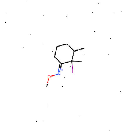 CO/N=C1\CCCC(C)C1(C)I